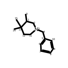 CC1CN(Cc2ccccc2)CCC1(C)C